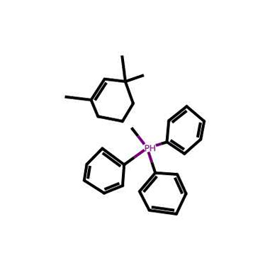 CC1=CC(C)(C)CCC1.C[PH](c1ccccc1)(c1ccccc1)c1ccccc1